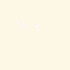 CCCCn1c(CNCCC(C)CCc2ccc(C)c(I)c2)cnc1-c1ccc(F)cc1